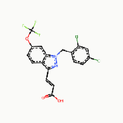 O=C(O)C=Cc1nn(Cc2ccc(Cl)cc2Cl)c2cc(OC(F)(F)F)ccc12